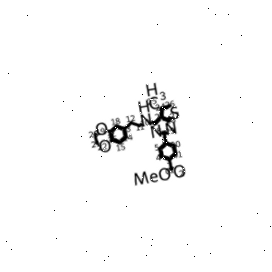 COC(=O)c1ccc(-c2nc(NCCc3ccc4c(c3)OCCO4)c3c(C)csc3n2)cc1